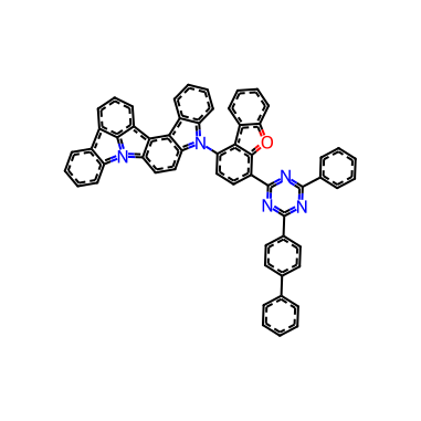 c1ccc(-c2ccc(-c3nc(-c4ccccc4)nc(-c4ccc(-n5c6ccccc6c6c7c8cccc9c%10ccccc%10n(c7ccc65)c98)c5c4oc4ccccc45)n3)cc2)cc1